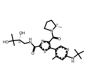 Cc1cc(NC(C)(C)C)ncc1-c1sc(C(=O)NC[C@@H](O)C(C)(C)O)nc1C(=O)N1CCC[C@@H]1C